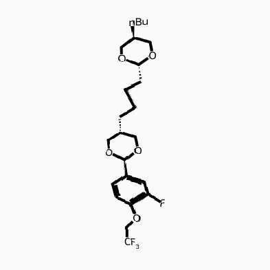 CCCC[C@H]1CO[C@H](CCCC[C@H]2CO[C@H](c3ccc(OCC(F)(F)F)c(F)c3)OC2)OC1